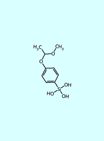 COC(C)Oc1ccc([Si](O)(O)O)cc1